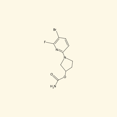 NC(=O)OC1CCN(c2ccc(Br)c(F)n2)C1